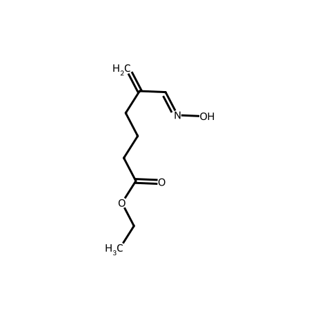 C=C(C=NO)CCCC(=O)OCC